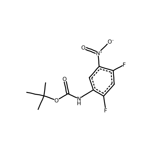 CC(C)(C)OC(=O)Nc1cc([N+](=O)[O-])c(F)cc1F